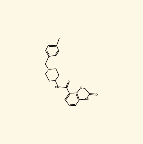 Cc1ccc(CN2CCC(NC(=O)c3cccc4c3OCC(=O)N4)CC2)cc1